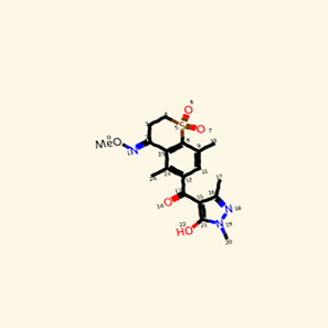 CO/N=C1\CCS(=O)(=O)c2c(C)cc(C(=O)c3c(C)nn(C)c3O)c(C)c21